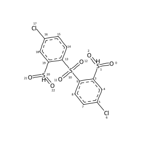 O=[SH](=O)c1cc(Cl)ccc1S(=O)(=O)c1ccc(Cl)cc1[SH](=O)=O